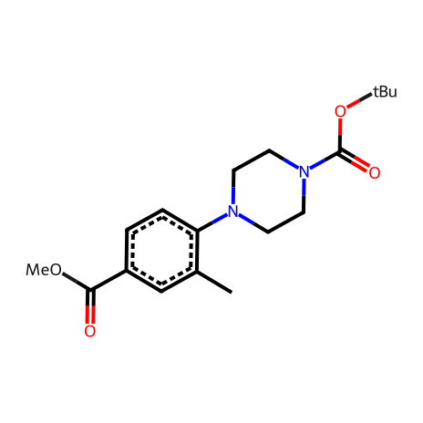 COC(=O)c1ccc(N2CCN(C(=O)OC(C)(C)C)CC2)c(C)c1